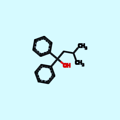 CC(C)CC(O)(c1ccccc1)c1ccccc1